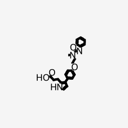 CN(CCOc1ccc(-c2cc[nH]c2CCC(=O)O)cc1)c1nc2ccccc2o1